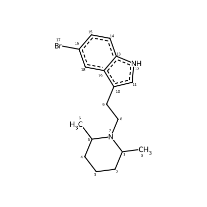 CC1CCCC(C)N1CCc1c[nH]c2ccc(Br)cc12